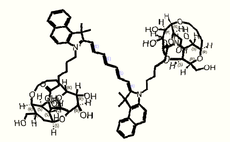 CC1(C)C(/C=C/C=C/C=C/C=C2/N(CCCCCC(=O)NC3[C@H](O)[C@H]4CCCO[C@H]5[C@H](O)[C@@H](O)C(O[C@@H]5CO)O[C@@H]3[C@@H](CO)O4)c3ccc4ccccc4c3C2(C)C)=[N+](CCCCCC(=O)N[C@H]2[C@H](O)[C@@H]3C[C@H](CO)[C@H]2OCCC[C@H]2O[C@H](CO)C(O3)[C@H](O)[C@H]2O)c2ccc3ccccc3c21